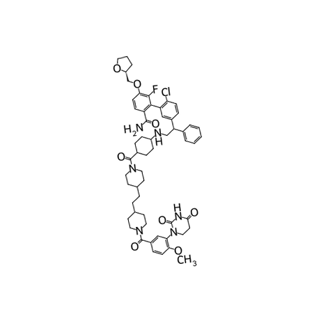 COc1ccc(C(=O)N2CCC(CCC3CCN(C(=O)C4CCC(NCC(c5ccccc5)c5ccc(Cl)c(-c6c(C(N)=O)ccc(OC[C@@H]7CCCO7)c6F)c5)CC4)CC3)CC2)cc1N1CCC(=O)NC1=O